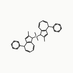 CC1=CC2=C(C=CC=CC2c2ccccc2)[CH]1[Ge]([CH3])([CH3])[CH]1C(C)=CC2=C1C=CC=CC2c1ccccc1